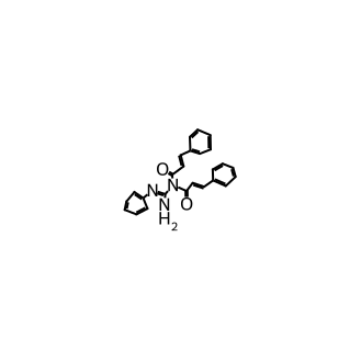 N/C(=N\c1ccccc1)N(C(=O)/C=C/c1ccccc1)C(=O)/C=C/c1ccccc1